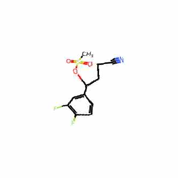 CS(=O)(=O)OC(CCC#N)c1ccc(F)c(F)c1